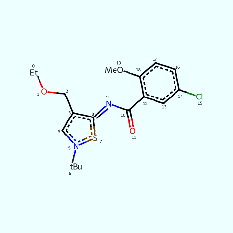 CCOCc1cn(C(C)(C)C)sc1=NC(=O)c1cc(Cl)ccc1OC